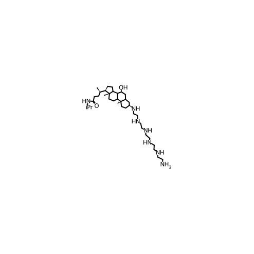 CC(C)NC(=O)CC[C@@H](C)[C@H]1CCC2C3C(CC[C@@]21C)[C@@]1(C)CC[C@H](NCCNCCNCCNCCNCCN)CC1C[C@@H]3O